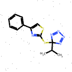 CC(C)C1(Sc2nc(-c3ccccc3)cs2)N=NN=N1